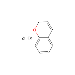 C1=Cc2ccccc2OC1.[Co].[Zr]